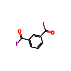 O=C(I)c1cccc(C(=O)I)c1